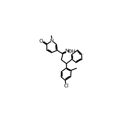 Cc1cc(Cl)ccc1C(C/C(=N\O)c1ccc(=O)n(C)c1)c1cc[c]cc1